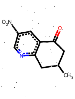 CC1CC(=O)c2cc([N+](=O)[O-])cnc2C1